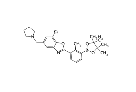 Cc1c(B2OC(C)(C)C(C)(C)O2)cccc1-c1nc2cc(CN3CCCC3)cc(Cl)c2o1